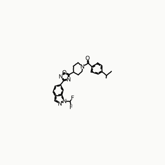 CC(C)c1ccc(C(=O)N2CCC(c3nc(-c4ccc5cnn(C(F)F)c5c4)no3)CC2)cc1